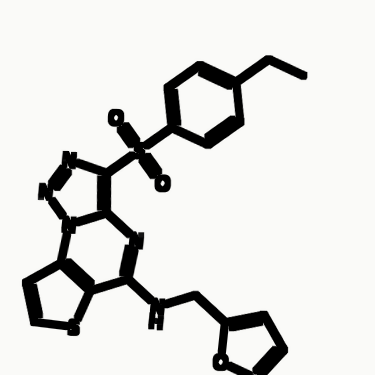 CCc1ccc(S(=O)(=O)c2nnn3c2nc(NCc2ccco2)c2sccc23)cc1